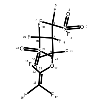 O=S(=O)(F)C(F)(F)C(F)(C(F)(F)OC(F)=C(F)F)C(F)(F)S(=O)(=O)F